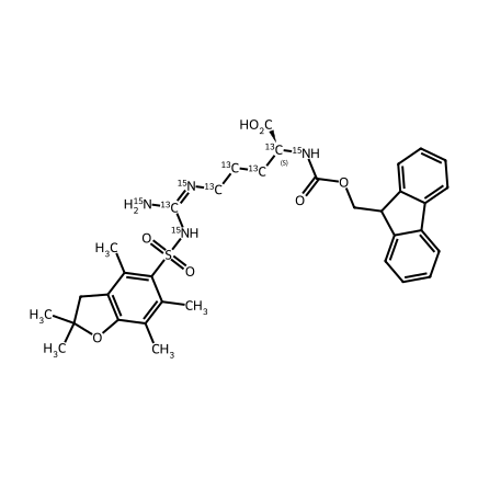 Cc1c(C)c(S(=O)(=O)[15NH][13C]([15NH2])=[15N][13CH2][13CH2][13CH2][13C@H]([15NH]C(=O)OCC2c3ccccc3-c3ccccc32)[13C](=O)O)c(C)c2c1OC(C)(C)C2